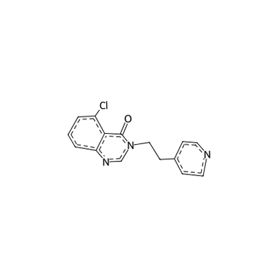 O=c1c2c(Cl)cccc2ncn1CCc1ccncc1